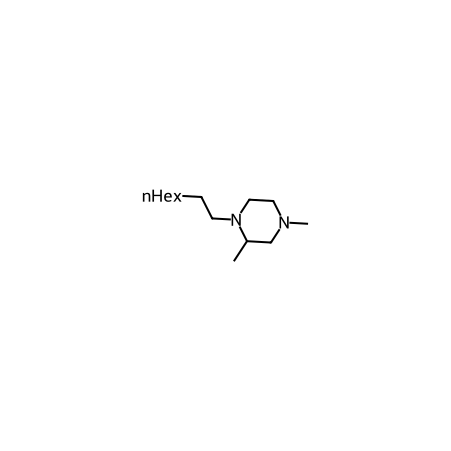 CCCCCCCCN1CCN(C)CC1C